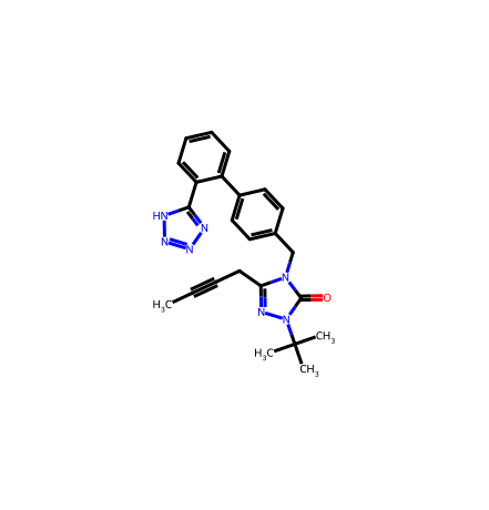 CC#CCc1nn(C(C)(C)C)c(=O)n1Cc1ccc(-c2ccccc2-c2nnn[nH]2)cc1